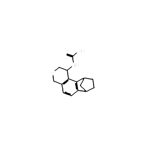 O=C(O)NC1COCc2ccc3c(c21)C1CCC3C1